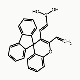 C=CC1=C(/C=C/B(O)O)C2(c3ccccc3O1)c1ccccc1-c1ccccc12